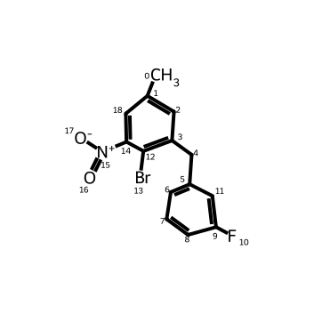 Cc1cc(Cc2cccc(F)c2)c(Br)c([N+](=O)[O-])c1